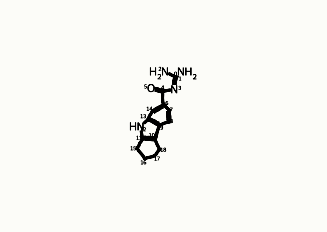 NC(N)=NC(=O)c1ccc2c3c([nH]c2c1)CCCC3